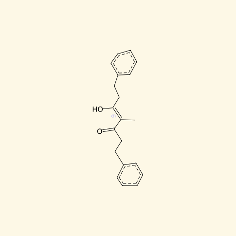 C/C(C(=O)CCc1ccccc1)=C(/O)CCc1ccccc1